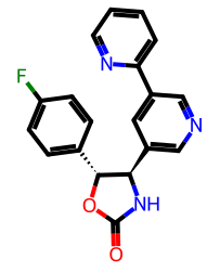 O=C1N[C@H](c2cncc(-c3ccccn3)c2)[C@@H](c2ccc(F)cc2)O1